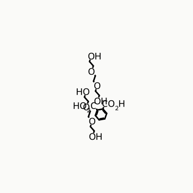 O=C(O)c1ccccc1C(=O)O.OCCOCCOCCO.OCCOCCOCCO